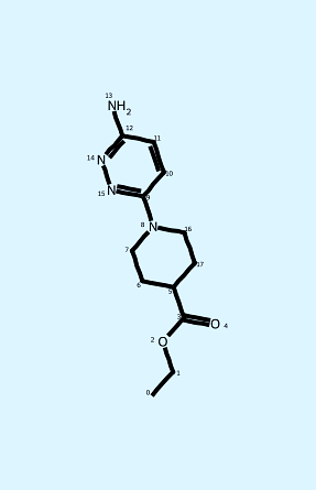 CCOC(=O)C1CCN(c2ccc(N)nn2)CC1